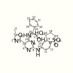 Cc1cnc(-c2cnc(Nc3ccc4c(c3)C(O)CCS4(=O)=O)nc2N[C@H](CO)c2ccccc2)o1